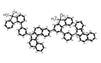 CC1(C)c2ccccc2-c2c(-c3cccc(-n4c5ccc6ccccc6c5c5c6ccc(-c7cc(-c8cccc(-n9c%10ccccc%10c%10c%11ccccc%11ccc%109)c8)c8c(c7)C(C)(C)c7ccccc7-8)cc6ccc54)c3)cccc21